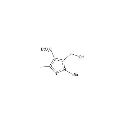 CCOC(=O)c1c(C)nn(C(C)(C)C)c1CO